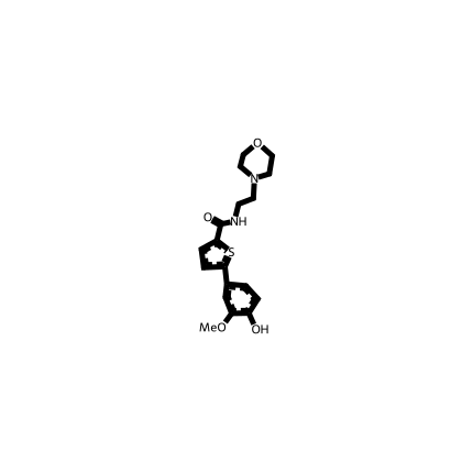 COc1cc(-c2ccc(C(=O)NCCN3CCOCC3)s2)ccc1O